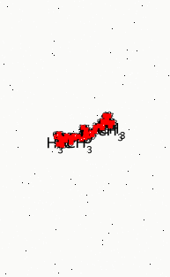 CC1(C)c2cc(/C=C/c3ccc4c(c3)N(c3ccccc3)c3cc(/C=C/c5ccc6c(c5)C(C)(C)c5cc(N(c7ccccc7)c7ccccc7)ccc5-6)ccc3O4)ccc2-c2ccc(N(c3ccccc3)c3ccccc3)cc21